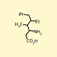 CCC(CC(C)C)C(C)C(N)CC(=O)O